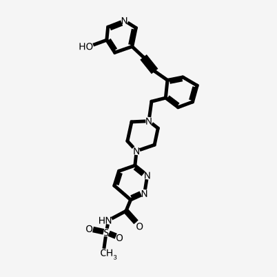 CS(=O)(=O)NC(=O)c1ccc(N2CCN(Cc3ccccc3C#Cc3cncc(O)c3)CC2)nn1